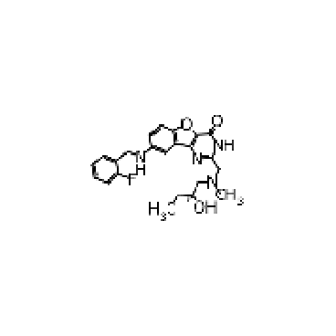 CC[C@H](O)CN(C)Cc1nc2c(oc3ccc(NCc4ccccc4F)cc32)c(=O)[nH]1